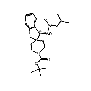 CC(C)C[S+]([O-])N[C@@H]1c2ccccc2CC12CCN(C(=O)OC(C)(C)C)CC2